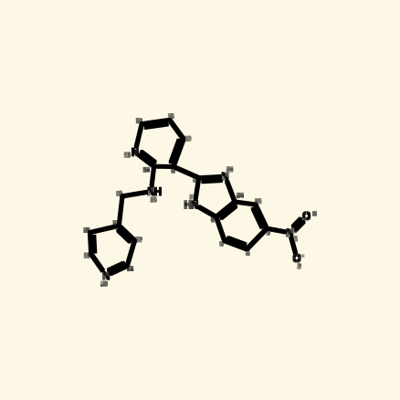 O=[N+]([O-])c1ccc2[nH]c(-c3cccnc3NCc3ccncc3)nc2c1